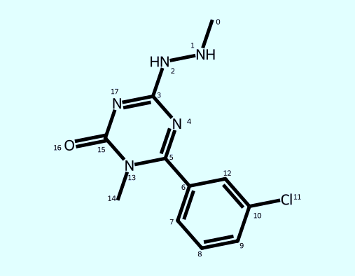 CNNc1nc(-c2cccc(Cl)c2)n(C)c(=O)n1